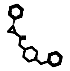 c1ccc(CN2CCC(CNC3C[C@@H]3c3ccccc3)CC2)cc1